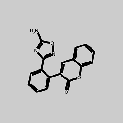 Nc1nc(-c2ccccc2-c2cc3ccccc3oc2=O)no1